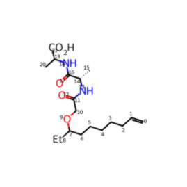 C=CCCCCCC(CC)OCC(=O)N[C@@H](C)C(=O)N[C@@H](C)C(=O)O